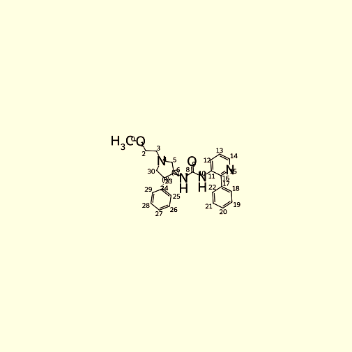 COCCN1C[C@@H](NC(=O)Nc2cccnc2-c2ccccc2)[C@H](c2ccccc2)C1